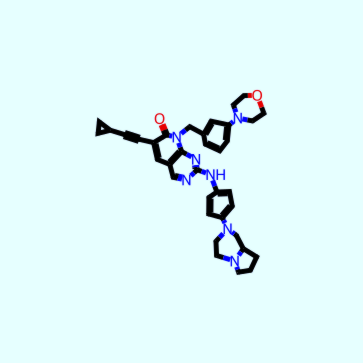 O=c1c(C#CC2CC2)cc2cnc(Nc3ccc(N4CCN5CCCC5C4)cc3)nc2n1Cc1cccc(N2CCOCC2)c1